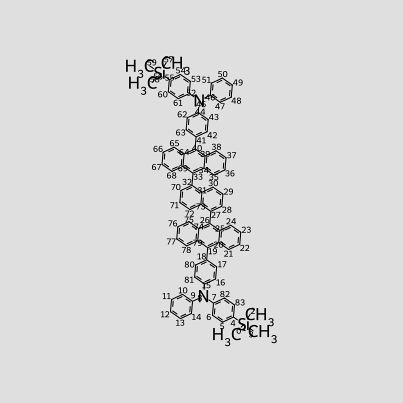 C[Si](C)(C)c1ccc(N(c2ccccc2)c2ccc(-c3c4ccccc4c(-c4cccc5c(-c6c7ccccc7c(-c7ccc(N(c8ccccc8)c8ccc([Si](C)(C)C)cc8)cc7)c7ccccc67)cccc45)c4ccccc34)cc2)cc1